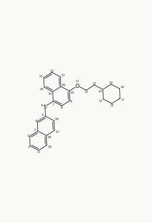 c1ccc2cc(Sc3ccc(OCCC4CCCCC4)c4ccccc34)ccc2c1